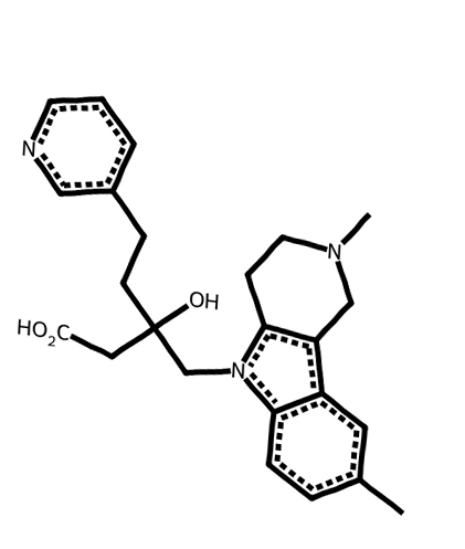 Cc1ccc2c(c1)c1c(n2CC(O)(CCc2cccnc2)CC(=O)O)CCN(C)C1